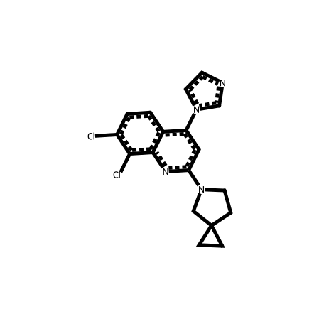 Clc1ccc2c(-n3ccnc3)cc(N3CCC4(CC4)C3)nc2c1Cl